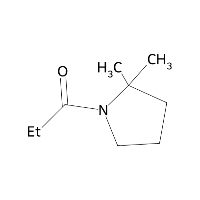 CCC(=O)N1CCCC1(C)C